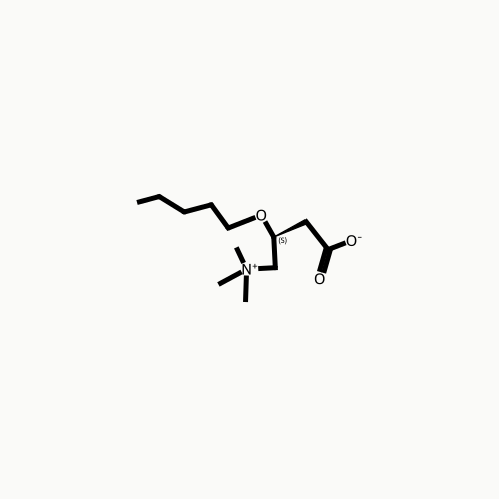 CCCCCO[C@@H](CC(=O)[O-])C[N+](C)(C)C